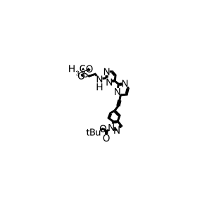 CC(C)(C)OC(=O)n1ncc2cc(C#Cc3ccnc(-c4ccnc(NCCS(C)(=O)=O)n4)n3)ccc21